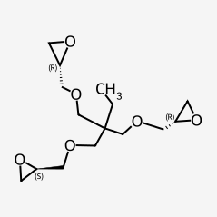 CCC(COC[C@@H]1CO1)(COC[C@@H]1CO1)COC[C@H]1CO1